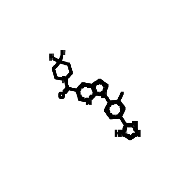 Cc1cc(-c2nnc[nH]2)ccc1-n1ccc2cc(C(=O)N3CCC(F)(F)CC3)cnc21